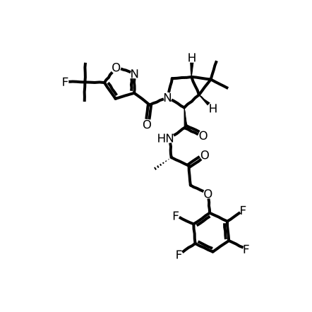 C[C@H](NC(=O)[C@@H]1[C@@H]2[C@H](CN1C(=O)c1cc(C(C)(C)F)on1)C2(C)C)C(=O)COc1c(F)c(F)cc(F)c1F